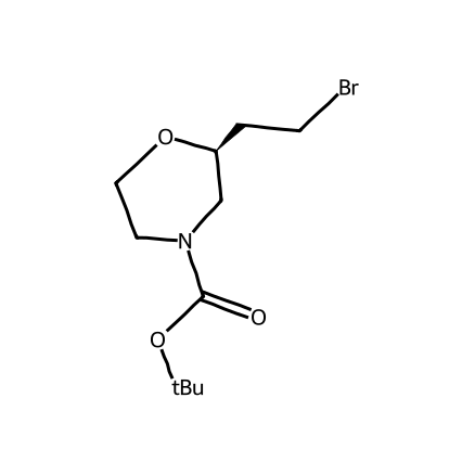 CC(C)(C)OC(=O)N1CCO[C@@H](CCBr)C1